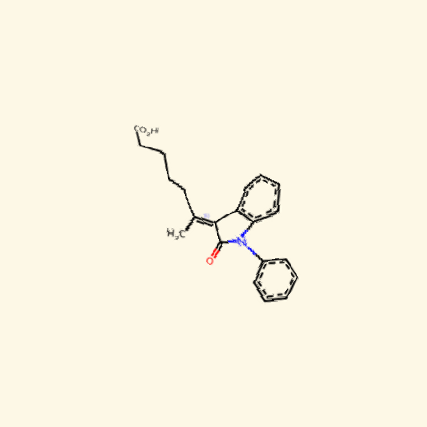 C/C(CCCCC(=O)O)=C1\C(=O)N(c2ccccc2)c2ccccc21